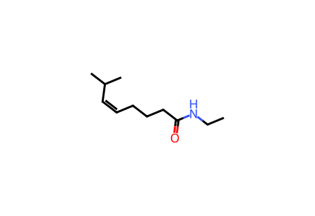 CCNC(=O)CCC/C=C\C(C)C